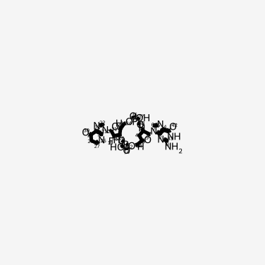 Nc1nc2c(ncn2[C@@H]2O[C@@H]3COP(=O)(O)O[C@H]4[C@@H](F)[C@H](n5cnc6c5N=CCC6=O)O[C@@H]4COP(=O)(O)O[C@@H]2C3)c(=O)[nH]1